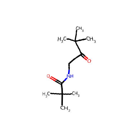 CC(C)(C)C(=O)CNC(=O)C(C)(C)C